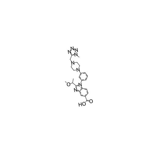 COC(C)c1nc2cc(C(=O)O)ccc2n1-c1cccc(N2CCN(Cc3nnnn3C)CC2)c1